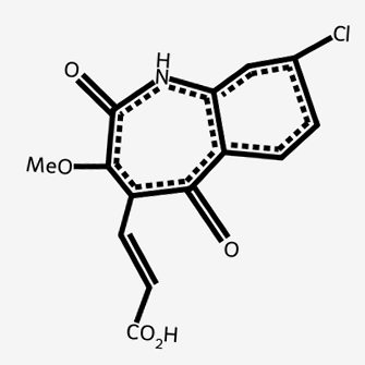 COc1c(C=CC(=O)O)c(=O)c2ccc(Cl)cc2[nH]c1=O